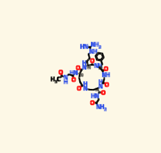 CC(=O)NCC(=O)N[C@H]1CCC(=O)NCC[C@@H](C(=O)NCC(N)=O)NC(=O)CNC(=O)[C@@H](Cc2ccccc2)NC(=O)[C@H](CCCNC(=N)N)NC1=O